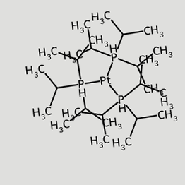 CC(C)[PH](C(C)C)(C(C)C)[Pt]([PH](C(C)C)(C(C)C)C(C)C)[PH](C(C)C)(C(C)C)C(C)C